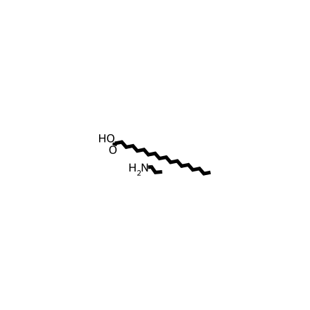 CCCCCCCCCCCCCCCCCC(=O)O.CCCN